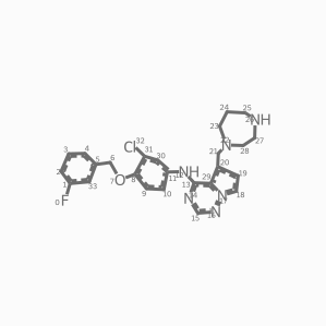 Fc1cccc(COc2ccc(Nc3ncnn4ccc(CN5CCCNCC5)c34)cc2Cl)c1